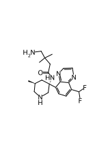 C[C@@H]1CNC[C@](NC(=O)CC(C)(C)CN)(c2ccc(C(F)F)c3nccnc23)C1